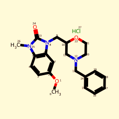 COc1ccc2c(c1)n(CC1CN(Cc3ccccc3)CCO1)c(=O)n2C.Cl